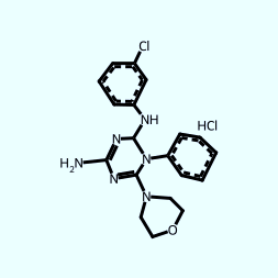 Cl.NC1=NC(Nc2cccc(Cl)c2)N(c2ccccc2)C(N2CCOCC2)=N1